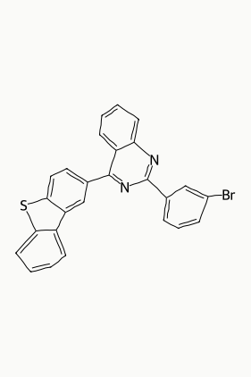 Brc1cccc(-c2nc(-c3ccc4sc5ccccc5c4c3)c3ccccc3n2)c1